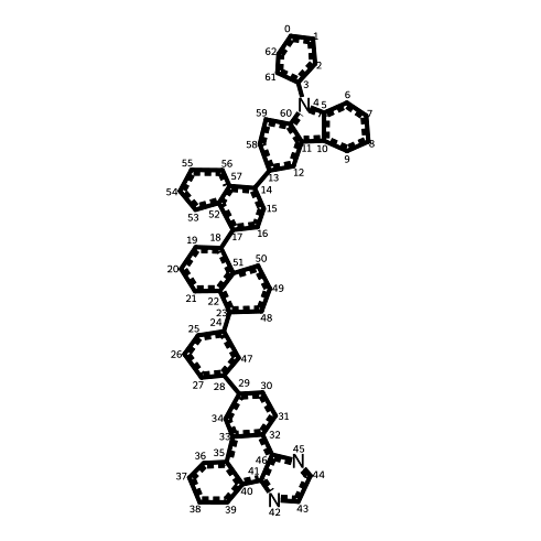 c1ccc(-n2c3ccccc3c3cc(-c4ccc(-c5cccc6c(-c7cccc(-c8ccc9c(c8)c8ccccc8c8nccnc98)c7)cccc56)c5ccccc45)ccc32)cc1